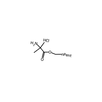 CCCCCCOC(=O)C(C)(C)N.Cl